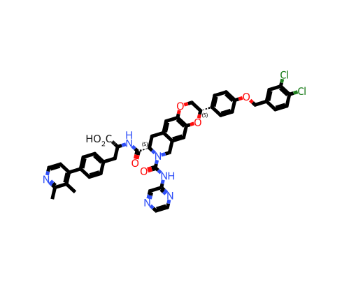 Cc1nccc(-c2ccc(CC(NC(=O)[C@@H]3Cc4cc5c(cc4CN3C(=O)Nc3cnccn3)O[C@@H](c3ccc(OCc4ccc(Cl)c(Cl)c4)cc3)CO5)C(=O)O)cc2)c1C